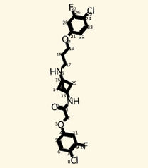 O=C(COc1ccc(Cl)c(F)c1)NC12CC(NCCCOc3ccc(Cl)c(F)c3)(C1)C2